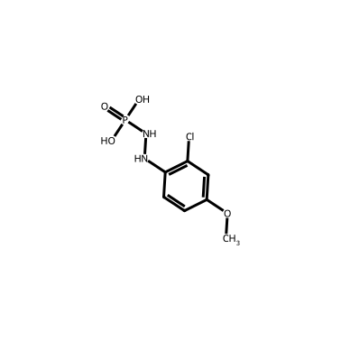 COc1ccc(NNP(=O)(O)O)c(Cl)c1